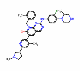 Cc1cc(C2CCN(C)C2)ncc1-c1cc2cnc(Nc3ccc(N4CCNCC4C)c(F)c3)nc2n(Cc2ccccc2C(F)(F)F)c1=O